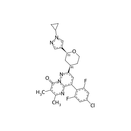 Cc1nc2c(-c3c(F)cc(Cl)cc3F)cc([C@@H]3CCO[C@H](c4cnn(C5CC5)c4)C3)nn2c(=O)c1C